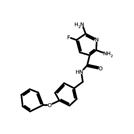 Nc1nc(N)c(C(=O)NCc2ccc(Oc3ccccc3)cc2)cc1F